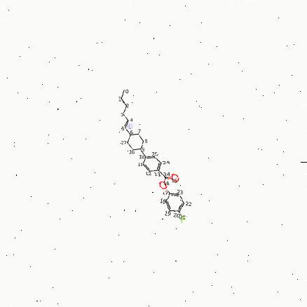 CCCC/C=C/C1CCC(c2ccc(C(=O)Oc3ccc(F)cc3)cc2)CC1